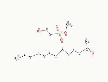 CCCCCCCCCCC[C](=O)[Na].COS(=O)(=O)CCO